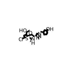 C[C@H]1C[C@@]2(C[C@@H](c3cn(Cc4cccc(O)c4)nn3)N1)OC[C@@H](O)c1cc(Cl)sc12